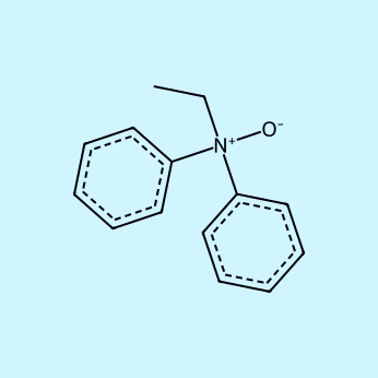 CC[N+]([O-])(c1ccccc1)c1ccccc1